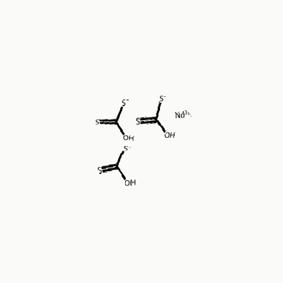 OC(=S)[S-].OC(=S)[S-].OC(=S)[S-].[Nd+3]